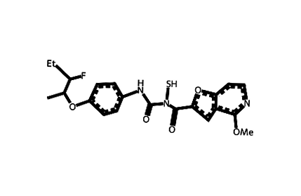 CCC(F)C(C)Oc1ccc(NC(=O)N(S)C(=O)c2cc3c(OC)nccc3o2)cc1